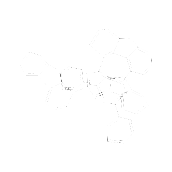 c1ccc(-c2nc(-c3ccccc3)nc(-c3cccc4oc5cccc(-c6nc(-c7cccc8c7sc7ccccc78)nc7c6sc6ccccc67)c5c34)n2)cc1